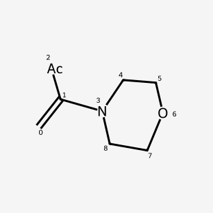 C=C(C(C)=O)N1CCOCC1